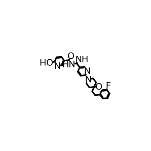 N=C(NC(=O)c1ccc(O)nc1)c1ccc(N2CCC3(CCc4cccc(F)c4O3)CC2)nc1